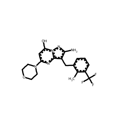 Cc1c(Cc2c(N)nn3c(O)cc(N4CCOCC4)nc23)cccc1C(F)(F)F